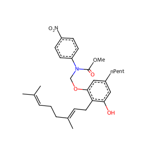 CCCCCc1cc(O)c(C/C=C(\C)CCC=C(C)C)c(OCN(C(=O)OC)c2ccc([N+](=O)[O-])cc2)c1